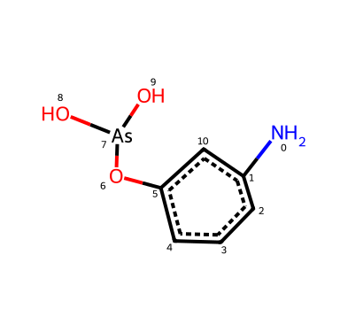 Nc1cccc(O[As](O)O)c1